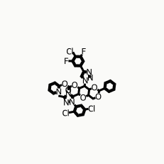 Cc1nc(C2OC3COC(c4ccccc4)OC3C(n3cc(-c4cc(F)c(Cl)c(F)c4)nn3)C2OC(=O)Oc2ccccn2)n(-c2cc(Cl)ccc2Cl)n1